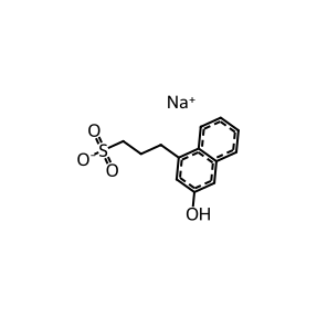 O=S(=O)([O-])CCCc1cc(O)cc2ccccc12.[Na+]